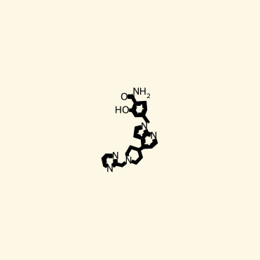 NC(=O)c1ccc(Cn2ccc3c(C4CCN(Cc5ncccn5)CC4)ccnc32)cc1O